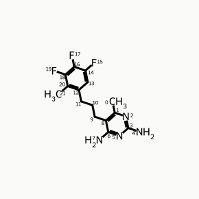 Cc1nc(N)nc(N)c1CCCc1cc(F)c(F)c(F)c1C